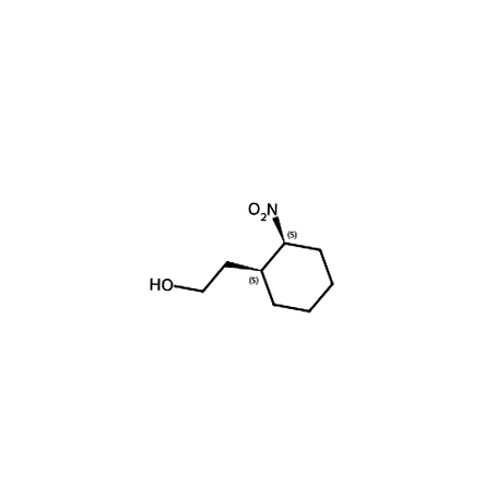 O=[N+]([O-])[C@H]1CCCC[C@H]1CCO